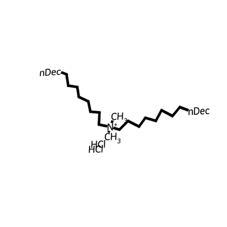 CCCCCCCCCCCCCCCCCC[N+](C)(C)CCCCCCCCCCCCCCCCCC.Cl.Cl